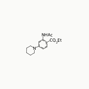 CCOC(=O)c1ccc(N2CCCCC2)cc1NC(C)=O